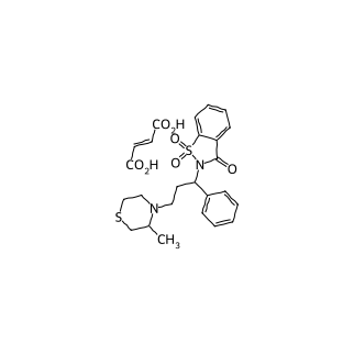 CC1CSCCN1CCC(c1ccccc1)N1C(=O)c2ccccc2S1(=O)=O.O=C(O)C=CC(=O)O